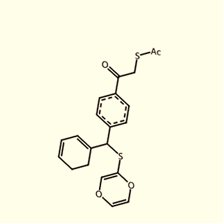 CC(=O)SCC(=O)c1ccc(C(SC2=COC=CO2)C2=CC=CCC2)cc1